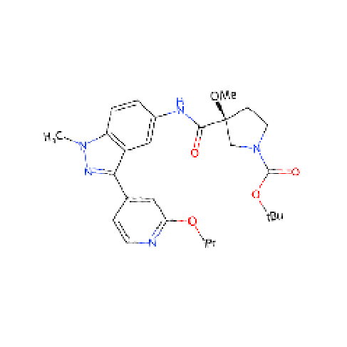 CO[C@@]1(C(=O)Nc2ccc3c(c2)c(-c2ccnc(OC(C)C)c2)nn3C)CCN(C(=O)OC(C)(C)C)C1